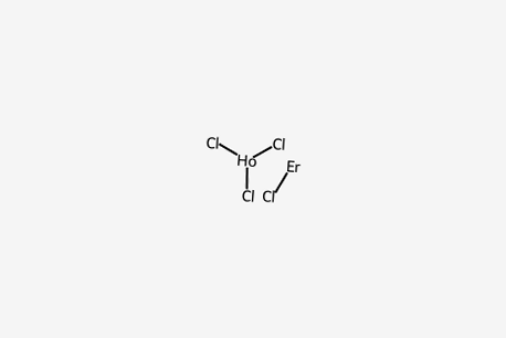 [Cl][Er].[Cl][Ho]([Cl])[Cl]